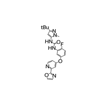 Cn1nc(C(C)(C)C)cc1NC(=O)Nc1cc(Oc2ccnc(-c3ncco3)c2)ccc1F